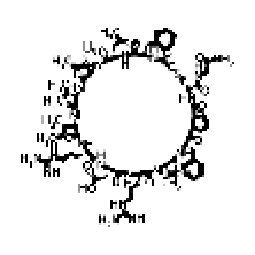 CC[C@H](C)[C@@H]1NC(=O)[C@H](CC(C)C)NC(=O)[C@H](Cc2ccccc2)NC(=O)CSC[C@@H](C(=O)NCC(N)=O)NC(=O)[C@@H]2CCCC2C(=O)[C@H](Cc2ccccc2)NC(=O)[C@H](C(C)C)NC(=O)[C@H](CCCNC(=N)N)NC(=O)[C@H](CC(=O)O)NC(=O)[C@H](CCCNC(=N)N)NC(=O)[C@H]([C@@H](C)CC)NC(=O)[C@H](C(C)C)NC1=O